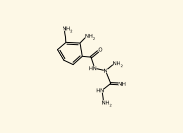 N=C(NN)N(N)NC(=O)c1cccc(N)c1N